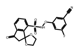 N#Cc1cc(F)cc(ONS(=O)(=O)c2cccc3c2C2(CC3=O)OCCO2)c1